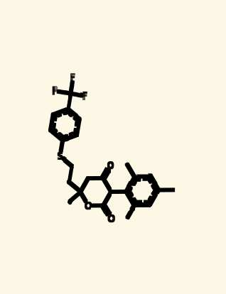 Cc1cc(C)c(C2C(=O)CC(C)(CCSc3ccc(C(F)(F)F)cc3)OC2=O)c(C)c1